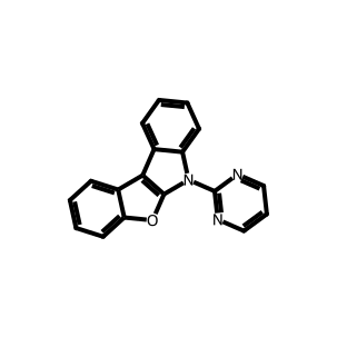 c1cnc(-n2c3ccccc3c3c4ccccc4oc32)nc1